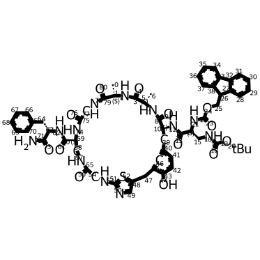 C[C@@H]1NC(=O)[C@H](C)NC(=O)[C@@H](NC(=O)[C@H](CNC(=O)OC(C)(C)C)NC(=O)OCC2c3ccccc3-c3ccccc32)Cc2ccc(O)c(c2)Cc2cnc(s2)NCC(=O)NC[C@@H](C(=O)N[C@@H](Cc2ccccc2)C(N)=O)NC(=O)CNC1=O